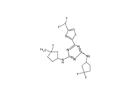 CC1(F)CCC(Nc2nc(NC3CCC(F)(F)C3)nc(-c3nc(C(F)F)cs3)n2)C1